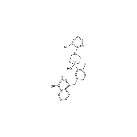 N#Cc1cccnc1N1CC[PH](O)(c2cc(Cc3n[nH]c(=O)c4ccccc34)ccc2F)CC1